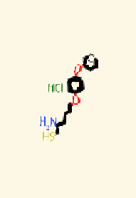 Cl.N[C@H](CS)CCCCOc1ccc(Oc2ccccc2)cc1